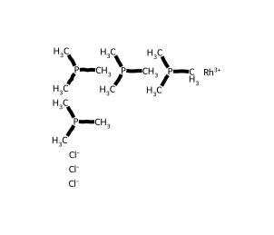 CP(C)C.CP(C)C.CP(C)C.CP(C)C.[Cl-].[Cl-].[Cl-].[Rh+3]